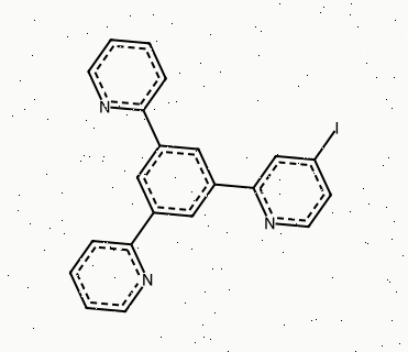 Ic1ccnc(-c2cc(-c3ccccn3)cc(-c3ccccn3)c2)c1